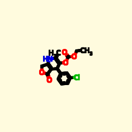 CCOC(=O)OC1=C(C)NC2=C(C(=O)OC2)C1c1cccc(Cl)c1